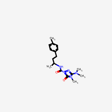 Cc1ccc(CCC(C)NC(=O)n2nc(N(C)C)n(C)c2=O)cc1